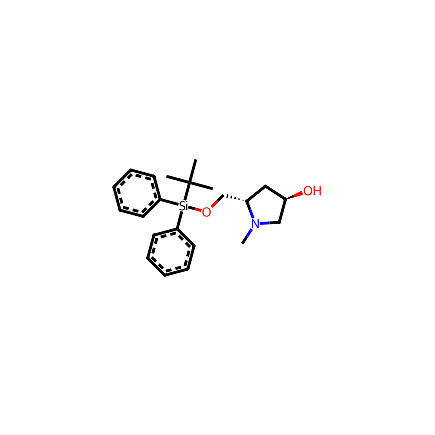 CN1C[C@H](O)C[C@H]1CO[Si](c1ccccc1)(c1ccccc1)C(C)(C)C